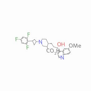 COc1ccc2nccc([C@@H](O)CC[C@@H]3CCN(C4CC(c5c(F)cc(F)cc5F)C4)C[C@@H]3C(=O)O)c2c1